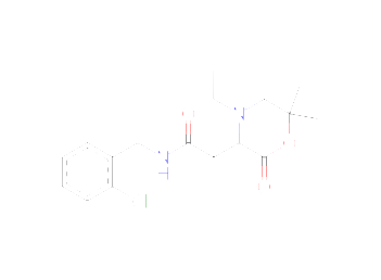 CCN1CC(C)(C)OC(=O)C1CC(=O)NCc1ccccc1Cl